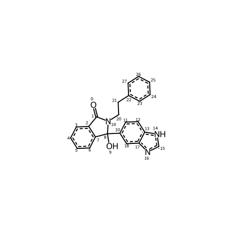 O=C1c2ccccc2C(O)(c2ccc3[nH][c]nc3c2)N1CCc1ccccc1